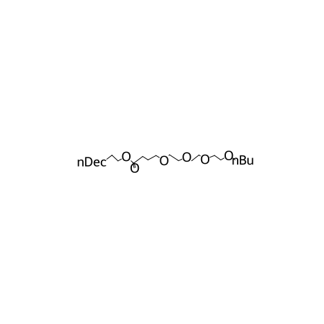 CCCCCCCCCCCCOC(=O)CCCOCCOCCOCCOCCCC